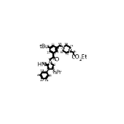 CCC[C@H]1CN(CC(=O)c2cc(CN3CCN(CC(=O)OCC)CC3)cc(C(C)(C)C)c2)C(=N)[C@@H]1c1ccccc1